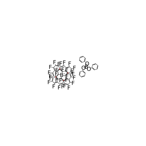 Fc1c(F)c(F)c2c([B-](c3c(F)c(F)c(F)c4c(F)c(F)c(F)c(F)c34)(c3c(F)c(F)c(F)c4c(F)c(F)c(F)c(F)c34)c3c(F)c(F)c(F)c4c(F)c(F)c(F)c(F)c34)c(F)c(F)c(F)c2c1F.c1ccc(OB(Oc2ccccc2)Oc2ccccc2)cc1